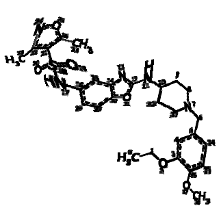 CCOc1cc(CN2CCC(Nc3nc4cc(NS(=O)(=O)c5c(C)noc5C)ccc4o3)CC2)ccc1OC